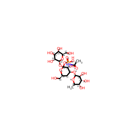 CC(=O)N[C@@H]1[C@@H](O[C@@H]2O[C@@H](C)[C@@H](O)[C@@H](O)[C@@H]2O)C[C@@H](CO)O[C@]1(O[C@@H]1O[C@H](CO)[C@H](O)[C@H](O)[C@H]1O)OP(=O)(O)O